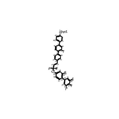 CCCCCc1ccc(-c2ccc(-c3ccc(/C=C/C(F)(F)Oc4ccc(-c5cc(F)c(F)c(F)c5)c(F)c4)cc3)c(F)c2)cc1